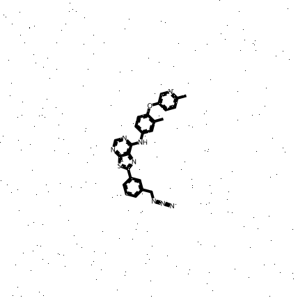 Cc1ccc(Oc2ccc(Nc3ncnc4sc(-c5cccc(CN=[N+]=[N-])c5)nc34)cc2C)cn1